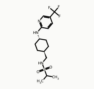 CC(C)S(=O)(=O)NC[C@H]1CC[C@H](Nc2ccc(C(F)(F)F)cn2)CC1